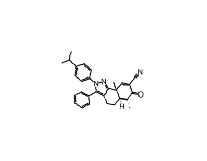 CC(C)c1ccc(-n2nc3c(c2-c2ccccc2)CC[C@@H]2[C@@H](C)C(=O)C(C#N)=CC32C)cc1